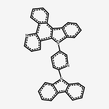 c1ccc2c(c1)c1ncccc1c1c2c2ccccc2n1-c1ccc(-n2c3ccccc3c3ccccc32)nc1